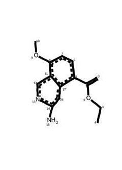 C=C(OCC)c1ccc(OC)c2cnc(N)cc12